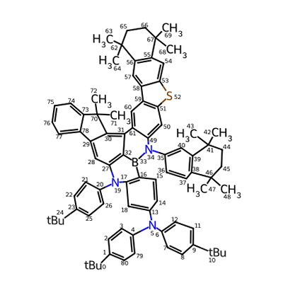 CC(C)(C)c1ccc(N(c2ccc(C(C)(C)C)cc2)c2ccc3c(c2)N(c2ccc(C(C)(C)C)cc2)c2cc4c(c5c2B3N(c2ccc3c(c2)C(C)(C)CCC3(C)C)c2cc3sc6cc7c(cc6c3cc2-5)C(C)(C)CCC7(C)C)C(C)(C)c2ccccc2-4)cc1